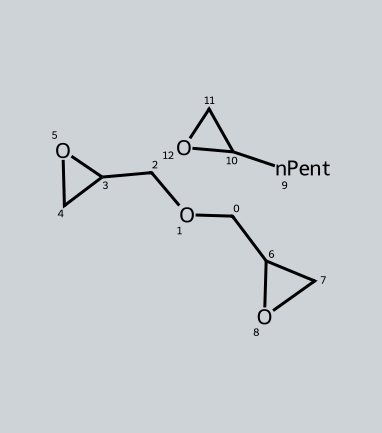 C(OCC1CO1)C1CO1.CCCCCC1CO1